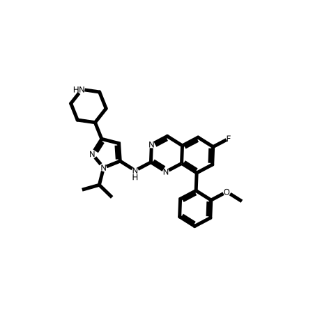 COc1ccccc1-c1cc(F)cc2cnc(Nc3cc(C4CCNCC4)nn3C(C)C)nc12